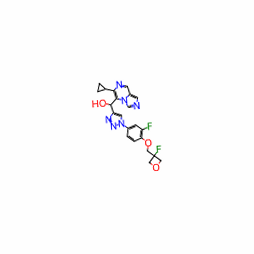 OC(c1cn(-c2ccc(OCC3(F)COC3)c(F)c2)nn1)c1c(C2CC2)ncc2cncn12